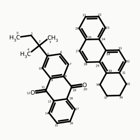 CCC(C)(C)c1ccc2c(c1)C(=O)c1ccccc1C2=O.c1ccc2c(c1)ccc1c3c(ccc12)CCCC3